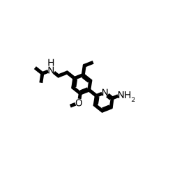 CCc1cc(-c2cccc(N)n2)c(OC)cc1CCNC(C)C